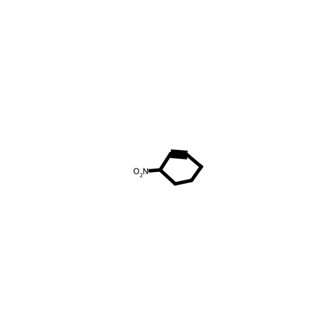 O=[N+]([O-])C1C#CCCC1